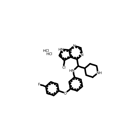 Cl.Cl.Fc1ccc(Oc2cccc(NC(c3ncnc4[nH]cc(Cl)c34)C3CCNCC3)c2)cc1